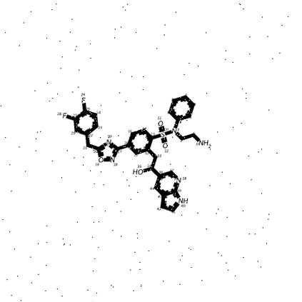 NCCN(c1ccccc1)S(=O)(=O)c1ccc(-c2noc(Cc3ccc(F)c(F)c3)n2)cc1CC(O)c1cnc2[nH]ccc2c1